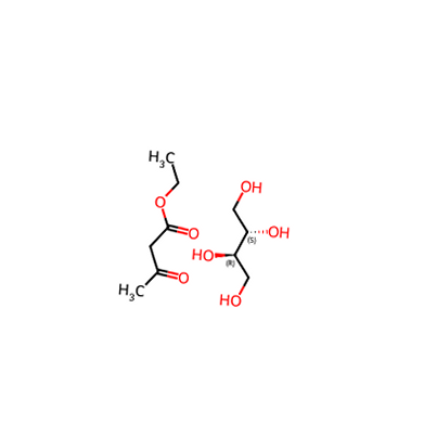 CCOC(=O)CC(C)=O.OC[C@@H](O)[C@@H](O)CO